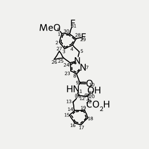 COc1ccc(Cn2nc(C(=O)N[C@H](Cc3ccccc3)[C@@H](O)C(=O)O)cc2C2CC2)c(F)c1F